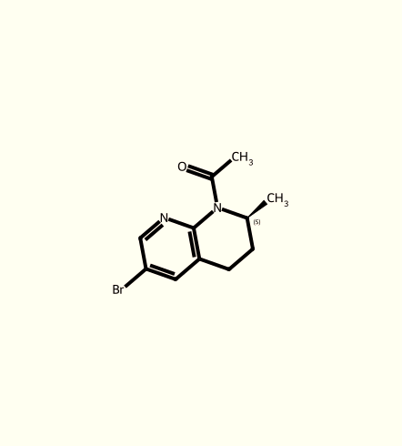 CC(=O)N1c2ncc(Br)cc2CC[C@@H]1C